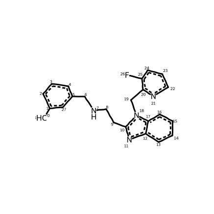 [CH]c1cccc(CNCCc2nc3ccccc3n2Cc2ncccc2F)c1